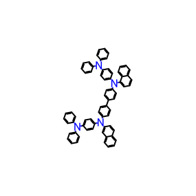 c1ccc(N(c2ccccc2)c2ccc(N(c3ccc(-c4ccc(N(c5ccc(N(c6ccccc6)c6ccccc6)cc5)c5cccc6ccccc56)cc4)cc3)c3ccc4ccccc4c3)cc2)cc1